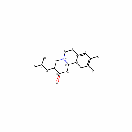 CC1=C(C)CC2C(=C1)CCN1CC(CC(C)C)C(=O)CC21